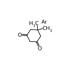 CC1(C)CC(=O)CC(=O)C1.[Ar]